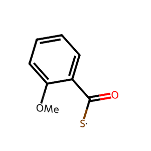 COc1ccccc1C(=O)[S]